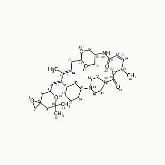 CC(/C=C/C1CC2(CO2)CC(C)(C)O1)=C\CC1OCC(NC(=O)/C=C\C(C)OC(=O)N2CCN(C3CCCCC3)CC2)CO1